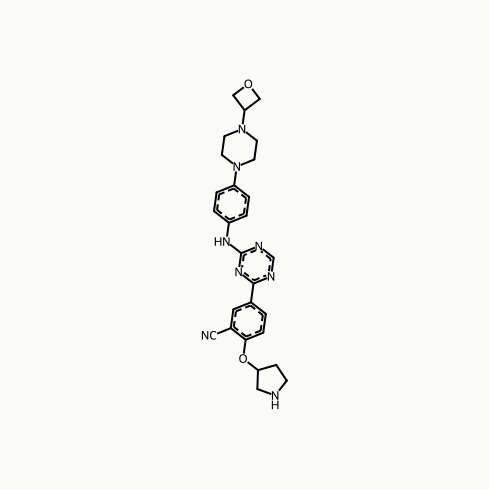 N#Cc1cc(-c2ncnc(Nc3ccc(N4CCN(C5COC5)CC4)cc3)n2)ccc1OC1CCNC1